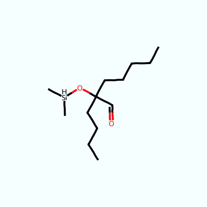 CCCCCC(C=O)(CCCC)O[SiH](C)C